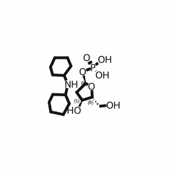 C1CCC(NC2CCCCC2)CC1.O=P(O)(O)O[C@@H]1C[C@H](O)[C@@H](CO)O1